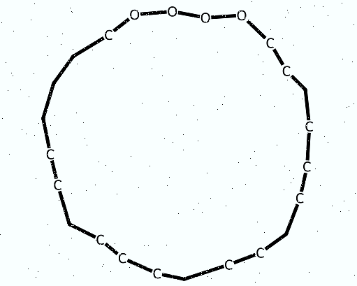 C1CCCCCCCCCCOOOOCCCCCCCCC1